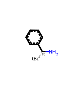 CC(C)(C)[C@@H](N)c1ccccc1